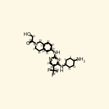 NC1CCC(Nc2nc(Nc3ccc4c(c3)CCN(C(=O)CO)C4)ncc2C(F)(F)F)CC1